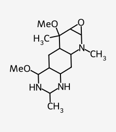 COC1NC(C)NC2CC3C(CC21)C(C)(OC)C1OC1N3C